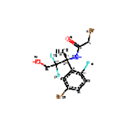 C[C@@](NC(=O)CBr)(c1cc(Br)ccc1F)C(F)(F)CO